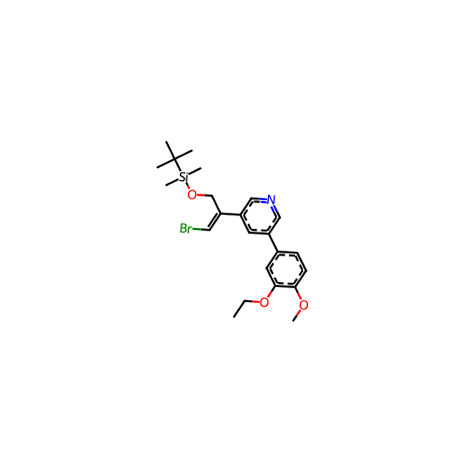 CCOc1cc(-c2cncc(C(=CBr)CO[Si](C)(C)C(C)(C)C)c2)ccc1OC